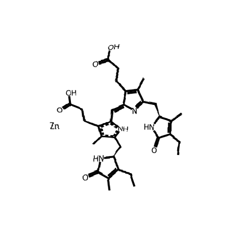 CCC1=C(C)[C@H](CC2=N/C(=C\c3[nH]c(C[C@@H]4NC(=O)C(C)=C4CC)c(C)c3CCC(=O)O)C(CCC(=O)O)=C2C)NC1=O.[Zn]